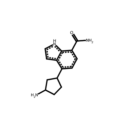 NC(=O)c1ccc(C2CCC(N)C2)c2cc[nH]c12